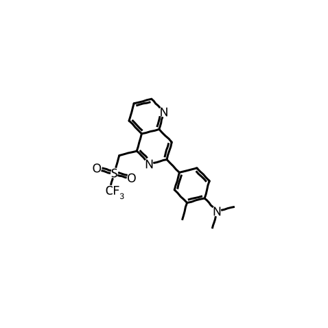 Cc1cc(-c2cc3ncccc3c(CS(=O)(=O)C(F)(F)F)n2)ccc1N(C)C